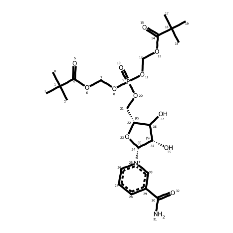 CC(C)(C)C(=O)OCOP(=O)(OCOC(=O)C(C)(C)C)OC[C@H]1O[C@@H]([n+]2cccc(C(N)=O)c2)[C@@H](O)C1O